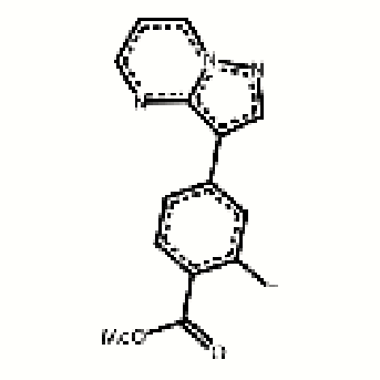 COC(=O)c1ccc(-c2cnn3cccnc23)cc1F